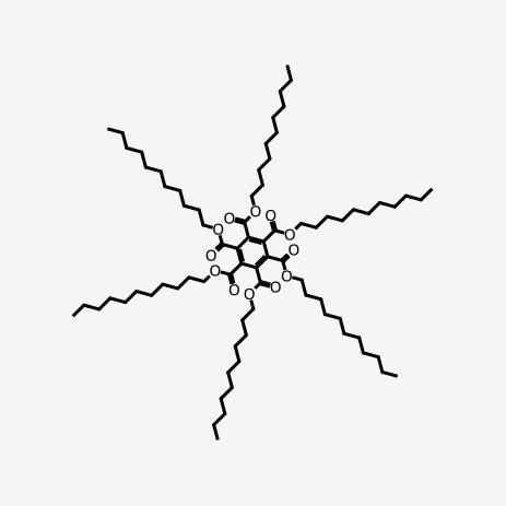 CCCCCCCCCCCOC(=O)c1c(C(=O)OCCCCCCCCCCC)c(C(=O)OCCCCCCCCCCC)c(C(=O)OCCCCCCCCCCC)c(C(=O)OCCCCCCCCCCC)c1C(=O)OCCCCCCCCCCC